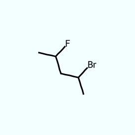 CC(F)CC(C)Br